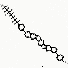 Cc1ccc(-c2ccc3cc4c(cc3c2)oc2cc3c(cc24)oc2cc4cc(-c5ccc(C(F)(F)C(F)(F)C(F)(F)C(F)(F)C(F)(F)C(F)(F)C(F)(F)C(F)(F)F)cc5)ccc4cc23)cc1